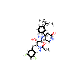 CC(=O)N[C@@H](Cc1cc(F)cc(F)c1)[C@H](O)CN[C@]1(c2cccc(C(C)C)c2)CCNC(=O)C1